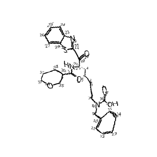 O=C(N[C@@H](CCCCN(Cc1ccccc1)C(=O)O)C(=O)c1nc2ccccc2s1)C1CCCOC1